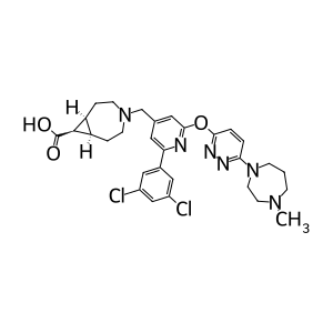 CN1CCCN(c2ccc(Oc3cc(CN4CC[C@@H]5[C@H](CC4)[C@@H]5C(=O)O)cc(-c4cc(Cl)cc(Cl)c4)n3)nn2)CC1